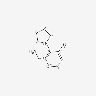 CCc1ccccc1N1CCCC1.CN